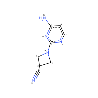 N#CC1CN(c2nccc(N)n2)C1